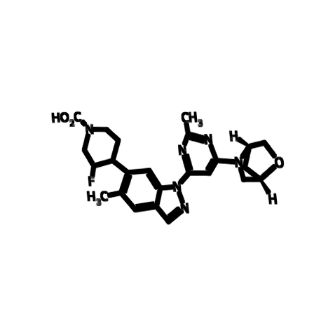 Cc1nc(N2C[C@@H]3C[C@H]2CO3)cc(-n2ncc3cc(C)c(C4CCN(C(=O)O)CC4F)cc32)n1